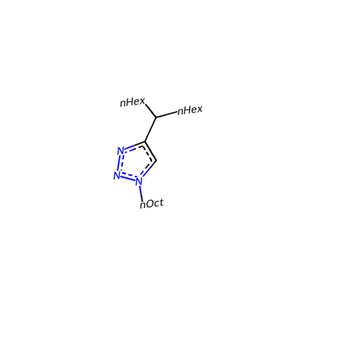 CCCCCCCCn1cc(C(CCCCCC)CCCCCC)nn1